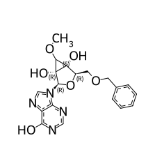 COC1[C@@]2(O)[C@@H](COCc3ccccc3)O[C@@H](n3cnc4c(O)ncnc43)[C@@]12O